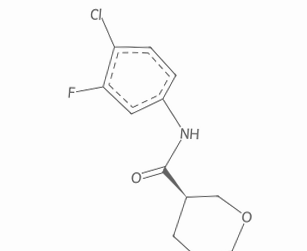 O=C(Nc1ccc(Cl)c(F)c1)[C@@H]1CCCOC1